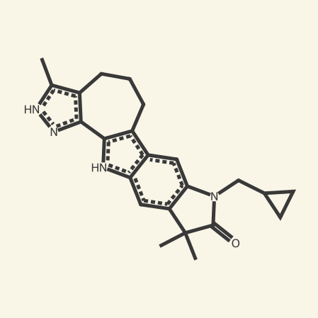 Cc1[nH]nc2c1CCCc1c-2[nH]c2cc3c(cc12)N(CC1CC1)C(=O)C3(C)C